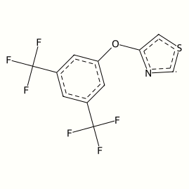 FC(F)(F)c1cc(Oc2cs[c]n2)cc(C(F)(F)F)c1